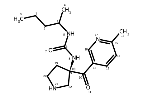 CCCC(C)NC(=O)N[C@]1(C(=O)c2ccc(C)nc2)CCNC1